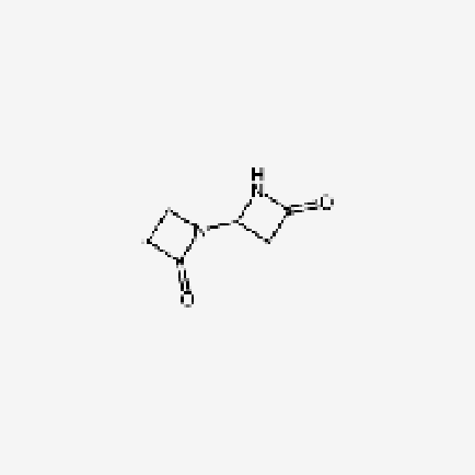 O=C1CC(N2C[CH]C2=O)N1